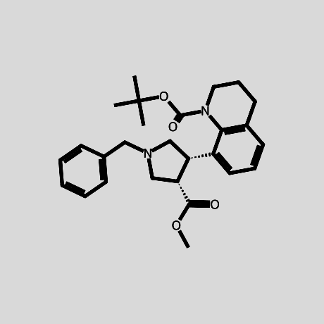 COC(=O)[C@@H]1CN(Cc2ccccc2)C[C@@H]1c1cccc2c1N(C(=O)OC(C)(C)C)CCC2